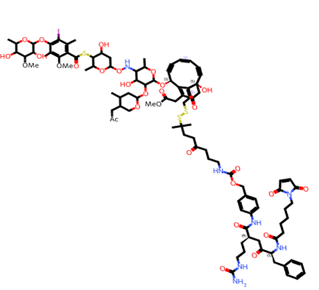 COC(=O)CC1=C2/C(=C\CSSC(C)(C)CCC(=O)CCCNC(=O)OCc3ccc(NC(=O)[C@H](CCCNC(N)=O)CC(=O)[C@H](Cc4ccccc4)NC(=O)CCCCCN4C(=O)C=CC4=O)cc3)[C@](O)(C#C/C=C\C#C[C@@H]2OC2OC(C)C(NOC3CC(O)C(SC(=O)c4c(C)c(I)c(OC5OC(C)C(O)C(OC)C5O)c(C)c4OC)C(C)O3)C(O)C2OC2CC(C)C(CC(C)=O)CO2)CC1=O